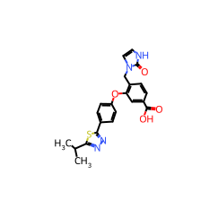 CC(C)c1nnc(-c2ccc(Oc3cc(C(=O)O)ccc3Cn3cc[nH]c3=O)cc2)s1